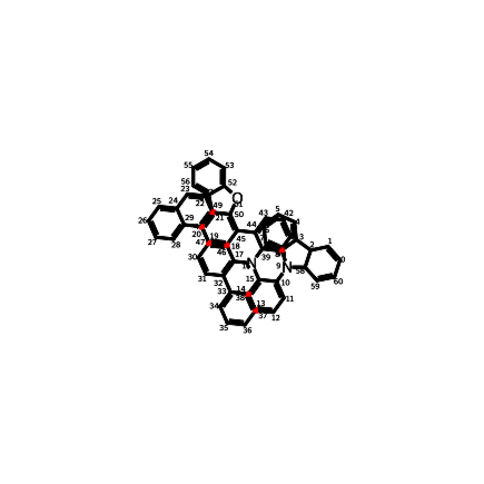 C1=CC2c3ccccc3N(c3ccccc3N(c3cc(-c4cccc5ccccc45)ccc3-c3ccccc3)c3ccccc3-c3cccc4c3oc3ccccc34)C2C=C1